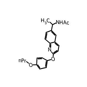 CCCOc1ccc(Oc2ccc3cc(C(C)NC(C)=O)ccc3n2)cc1